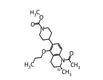 CCCOc1c(C2CCN(C(=O)OC)CC2)ccc2c1CC[C@H](C)N2C(C)=O